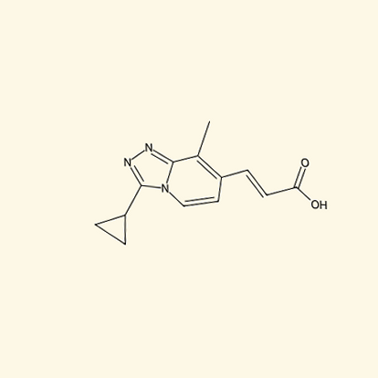 Cc1c(/C=C/C(=O)O)ccn2c(C3CC3)nnc12